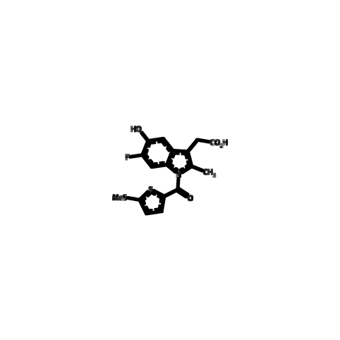 CSc1ccc(C(=O)n2c(C)c(CC(=O)O)c3cc(O)c(F)cc32)s1